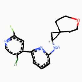 Fc1cc(-c2cccc(N[C@@H]3CC34CCOCC4)n2)c(Cl)cn1